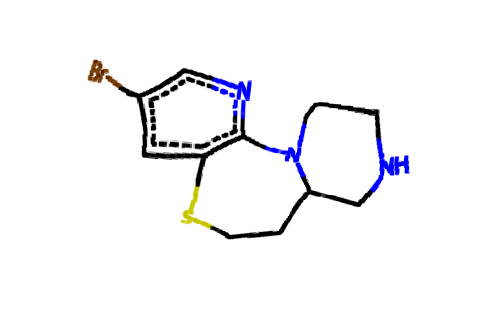 Brc1cnc2c(c1)SCCC1CNCCN21